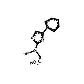 CCCN(CC(=O)O)c1nc(-c2ccccc2)cs1